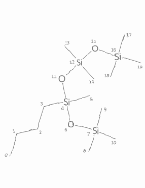 CCCC[Si](C)(O[Si](C)(C)C)O[Si](C)(C)O[Si](C)(C)C